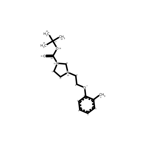 Cc1ccccc1OCCN1CCN(C(=O)OC(C)(C)C)C1